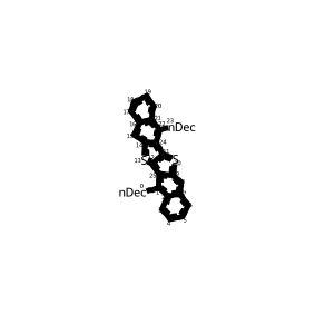 CCCCCCCCCCc1c2ccccc2cc2sc3c(sc4cc5ccccc5c(CCCCCCCCCC)c43)c12